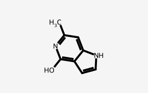 Cc1cc2[nH]ccc2c(O)n1